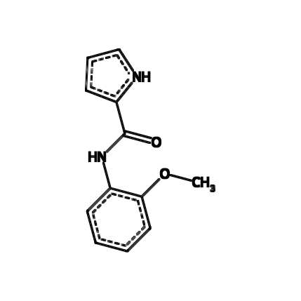 COc1ccccc1NC(=O)c1ccc[nH]1